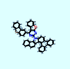 c1ccc2c(c1)ccc1c3c4c5ccccc5c5ccccc5c4ccc3n(-c3nc(-c4ccc5sc6ccccc6c5c4)c4c(n3)oc3ccccc34)c21